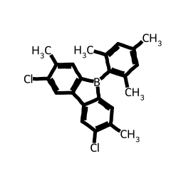 Cc1cc(C)c(B2c3cc(C)c(Cl)cc3-c3cc(Cl)c(C)cc32)c(C)c1